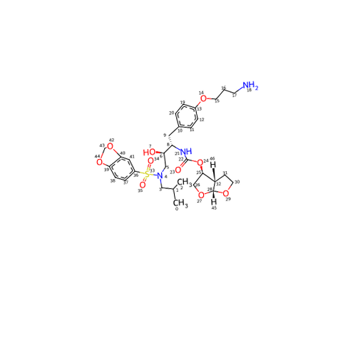 CC(C)CN(C[C@@H](O)[C@H](Cc1ccc(OCCCN)cc1)NC(=O)O[C@@H]1CO[C@H]2OCC[C@H]21)S(=O)(=O)c1ccc2c(c1)OCO2